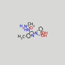 Cc1ccc2nc(N3CCS(O)(O)c4ccccc4C3)cc(NC(=O)C(C)N)c2c1